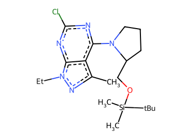 CCn1nc(C)c2c(N3CCCC3CO[Si](C)(C)C(C)(C)C)nc(Cl)nc21